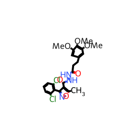 COc1cc(CCC(=O)NNC(=O)c2c(-c3c(Cl)cccc3Cl)noc2C)cc(OC)c1OC